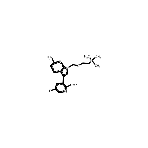 COc1ncc(F)cc1-c1cn(COCC[Si](C)(C)C)c2nc(N)ccc12